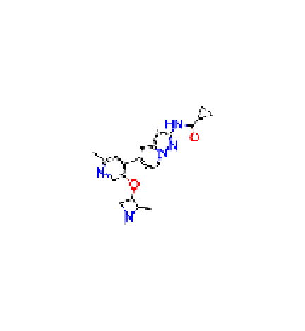 Cc1cc(-c2ccn3nc(NC(=O)C4CC4)cc3c2)c(OC2CN(C)[C@@H]2C)cn1